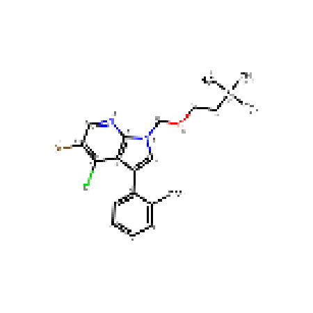 COc1ccccc1-c1cn(COCC[Si](C)(C)C)c2ncc(Br)c(Cl)c12